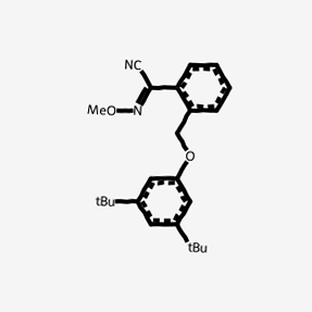 CON=C(C#N)c1ccccc1COc1cc(C(C)(C)C)cc(C(C)(C)C)c1